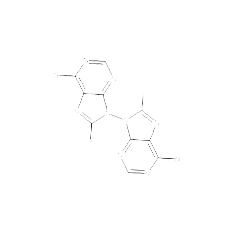 Nc1ncnc2c1nc(Br)n2-n1c(Br)nc2c(N)ncnc21